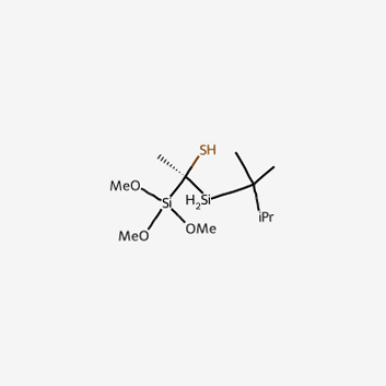 CO[Si](OC)(OC)[C@@](C)(S)[SiH2]C(C)(C)C(C)C